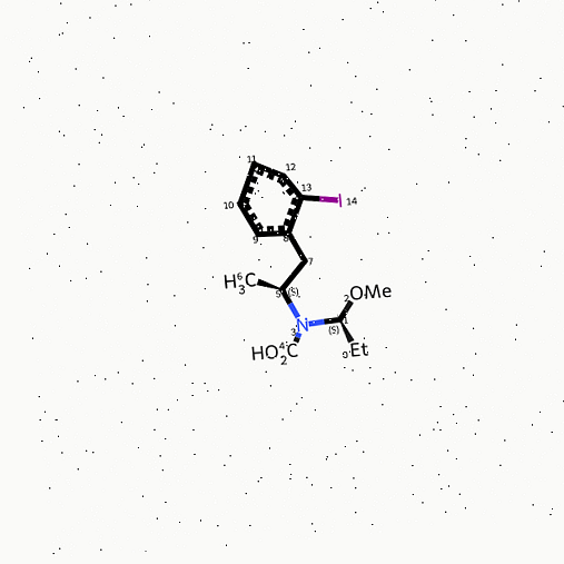 CC[C@H](OC)N(C(=O)O)[C@@H](C)Cc1ccccc1I